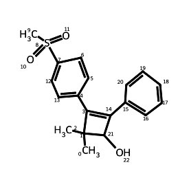 CC1(C)C(c2ccc(S(C)(=O)=O)cc2)=C(c2ccccc2)C1O